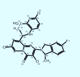 C[C@@H]1c2ccc(F)cc2CN1c1nc2c([C@@H](C)Nc3ccc(Cl)nc3C(=O)O)cc(Cl)cn2c(=O)c1Cl